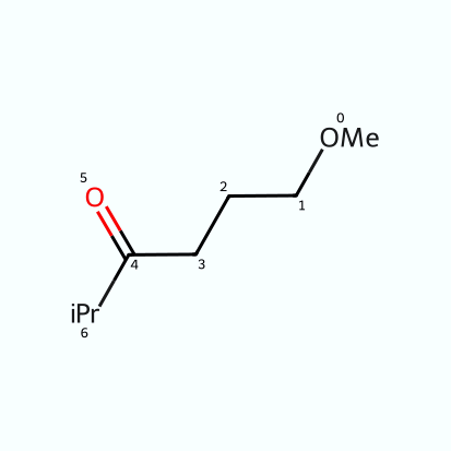 COCCCC(=O)C(C)C